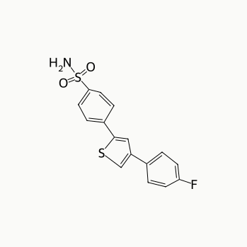 NS(=O)(=O)c1ccc(-c2cc(-c3ccc(F)cc3)cs2)cc1